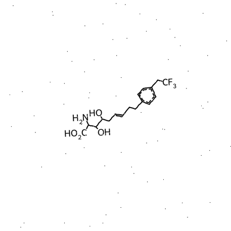 NC(C(=O)O)C(O)C(O)C/C=C/CCc1ccc(CC(F)(F)F)cc1